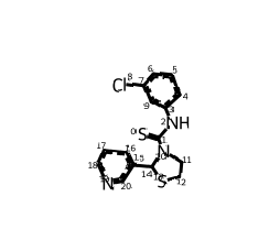 S=C(Nc1cccc(Cl)c1)N1CCSC1c1cccnc1